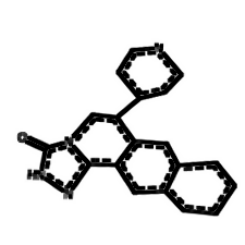 O=c1[nH]nc2c3cc4ccccc4cc3c(-c3ccncc3)cn12